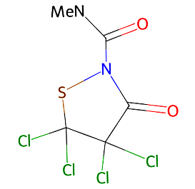 CNC(=O)N1SC(Cl)(Cl)C(Cl)(Cl)C1=O